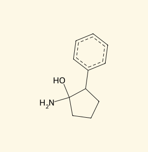 NC1(O)CCCC1c1ccccc1